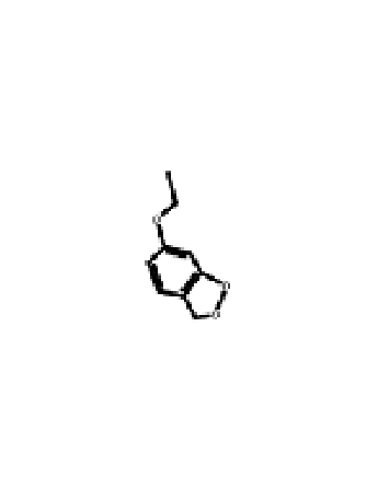 [CH2]COc1ccc2c(c1)OOC2